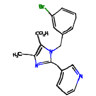 Cc1nc(-c2cccnc2)n(Cc2cccc(Br)c2)c1C(=O)O